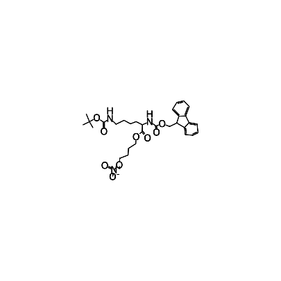 CC(C)(C)OC(=O)NCCCCC(NC(=O)OCC1c2ccccc2-c2ccccc21)C(=O)OCCCCO[N+](=O)[O-]